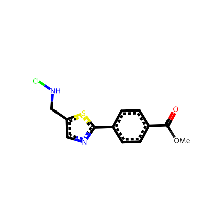 COC(=O)c1ccc(-c2ncc(CNCl)s2)cc1